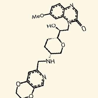 COc1ccc2ncc(=O)n(C[C@H](O)[C@H]3CC[C@@H](NCc4cc5c(cn4)OCCO5)CO3)c2c1